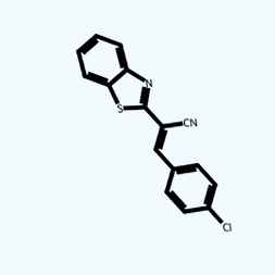 N#C/C(=C\c1ccc(Cl)cc1)c1nc2ccccc2s1